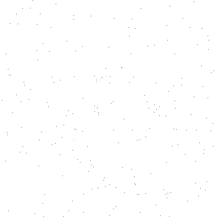 O=C(NC(CO)(CCc1ccc(C(=O)CCCCc2ccccc2)cc1)COP(=O)(Oc1ccccc1)Oc1ccccc1)OCC1c2ccccc2-c2ccccc21